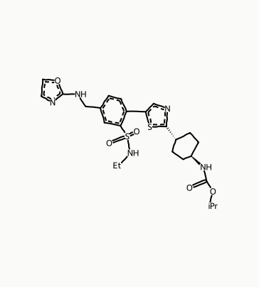 CCNS(=O)(=O)c1cc(CNc2ncco2)ccc1-c1cnc([C@H]2CC[C@H](NC(=O)OC(C)C)CC2)s1